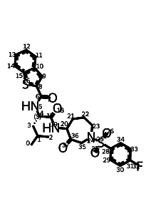 CC(C)C[C@H](NC(=O)c1cc2ccccc2s1)C(=O)NC1CCCN(S(=O)(=O)c2ccc(F)cc2)CC1=O